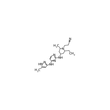 CCC1CC(Nc2nccc(Nc3cc(C)[nH]n3)n2)CC(C)N1CCC#N